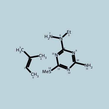 CC=C(C)C.CCN(N)c1nc(N)nc(SC)n1